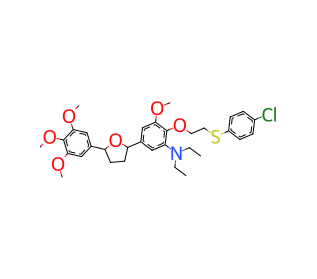 CCN(CC)c1cc(C2CCC(c3cc(OC)c(OC)c(OC)c3)O2)cc(OC)c1OCCSc1ccc(Cl)cc1